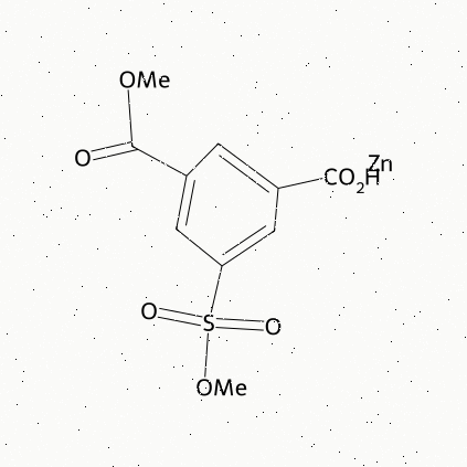 COC(=O)c1cc(C(=O)O)cc(S(=O)(=O)OC)c1.[Zn]